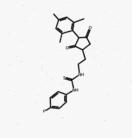 Cc1cc(C)c(C2C(=O)CC(CCNC(=S)Nc3ccc(F)cc3)C2=O)c(C)c1